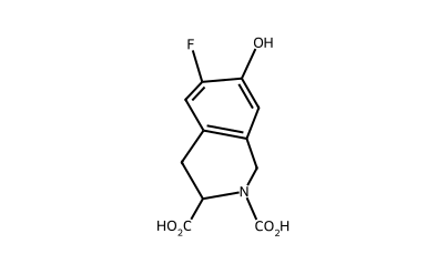 O=C(O)C1Cc2cc(F)c(O)cc2CN1C(=O)O